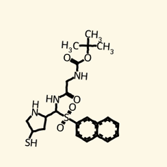 CC(C)(C)OC(=O)NCC(=O)NC(C1CC(S)CN1)S(=O)(=O)c1ccc2ccccc2c1